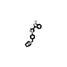 c1ccc2c(-c3cn(-c4ccc(CN5CC6CCC(C5)O6)cc4)nn3)n[nH]c2c1